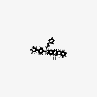 O=c1[nH]c2cc3nc(-c4ccc(-c5ccncc5)cc4)n(CCCN4CCCC4)c3cc2nc1Cc1ccccc1